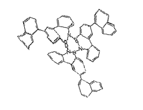 c1ccc2c(c1)-c1cc(-c3cccc4ccccc34)ccc1B1N2B2c3ccc(-c4cccc5ccccc45)cc3-c3ccccc3N2B2c3ccc(-c4cccc5ccccc45)cc3-c3ccccc3N12